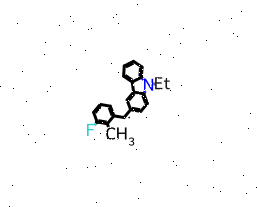 CCn1c2ccccc2c2cc([CH]c3cccc(F)c3C)ccc21